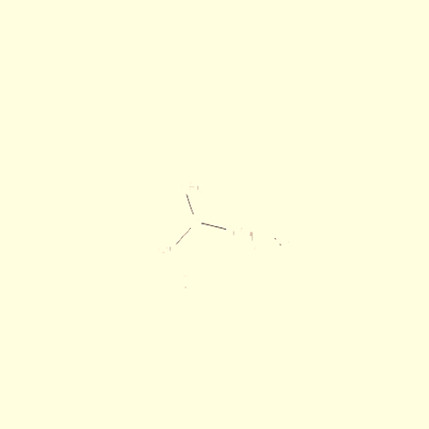 CCCCP(CCCC)CCCC.[F-].[F-].[Ni+2]